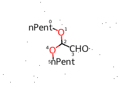 CCCCCOC([C]=O)OCCCCC